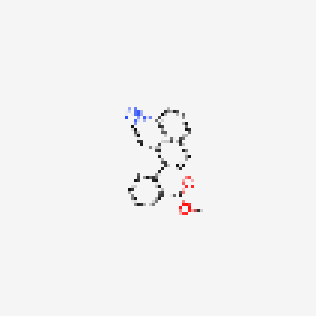 COC(=O)c1ccccc1-c1ccc2cccc3c2c1C=CN3